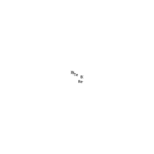 [B].[Bi].[Re].[Te]